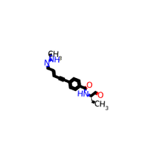 CC[C@@H](C=O)NC(=O)c1ccc(C#C/C=C/C=N\NC)cc1